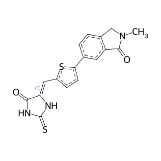 CN1Cc2ccc(-c3ccc(/C=C4\NC(=S)NC4=O)s3)cc2C1=O